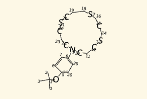 CC(C)(C)Oc1ccc(N2CCCSCCCSCCCSCCC2)cc1